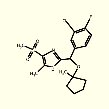 Cc1[nH]c(C(OC2(C)CCCC2)c2ccc(F)c(Cl)c2)nc1S(C)(=O)=O